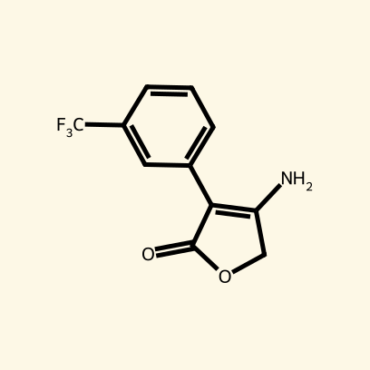 NC1=C(c2cccc(C(F)(F)F)c2)C(=O)OC1